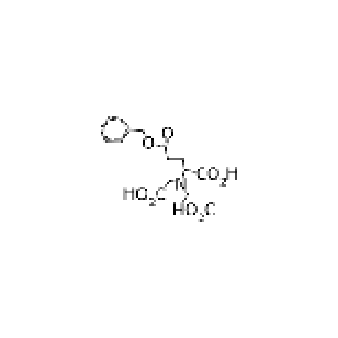 O=C(O)CN(CC(=O)O)C(CCC(=O)OCc1ccccc1)C(=O)O